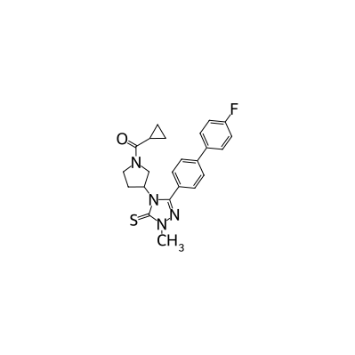 Cn1nc(-c2ccc(-c3ccc(F)cc3)cc2)n(C2CCN(C(=O)C3CC3)C2)c1=S